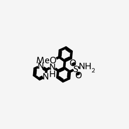 COc1ccccc1-c1c(Nc2ncccn2)cccc1S(N)(=O)=O